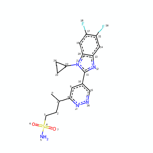 CC(CCS(N)(=O)=O)c1cc(-c2nc3cc(F)c(F)cc3n2C2CC2)cnn1